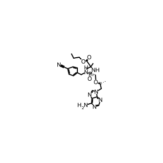 CCCOC(=O)C(C)(C)N[P@](=O)(CO[C@H](C)Cn1cnc2c(N)ncnc21)NCc1ccc(C#N)cc1